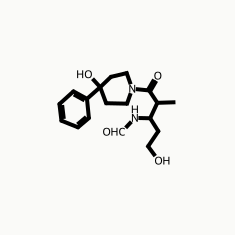 CC(C(=O)N1CCC(O)(c2ccccc2)CC1)C(CCO)NC=O